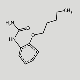 CCCCCOc1ccccc1NC(N)=O